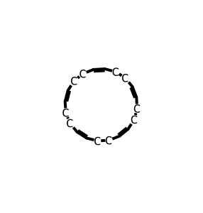 C1=CCCC=CCCC=CCCC=CCCC=CCC1